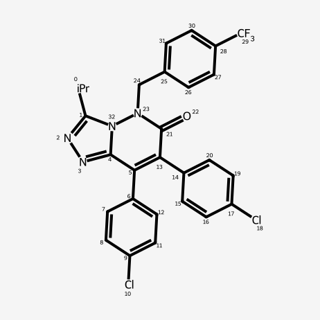 CC(C)c1nnc2c(-c3ccc(Cl)cc3)c(-c3ccc(Cl)cc3)c(=O)n(Cc3ccc(C(F)(F)F)cc3)n12